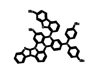 CC(C)(C)c1ccc(N(c2ccc(C(C)(C)C)cc2)c2ccc3c(c2)N(c2cccc4c2oc2cc(C(C)(C)C)ccc24)c2cc(C(C)(C)C)cc4c2B3c2cccc3c2N4C2Sc4ccccc4C32)cc1